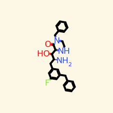 N[C@@H](Cc1cc(F)cc(Cc2ccccc2)c1)C(O)C1NCCN(Cc2ccccc2)C1=O